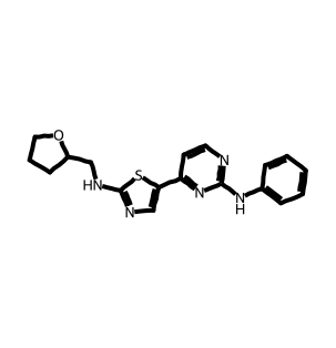 c1ccc(Nc2nccc(-c3cnc(NCC4CCCO4)s3)n2)cc1